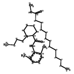 CCCCCCCCCCCCC(=O)OC.CCCCN1CCCCC1C(=O)Nc1c(C)cccc1C